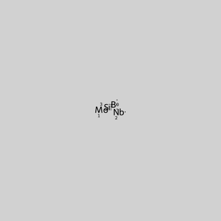 [B].[Mo].[Nb].[Si]